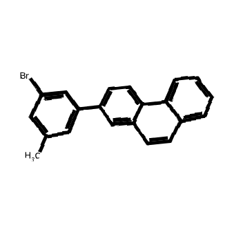 Cc1cc(Br)cc(-c2ccc3c(ccc4ccccc43)c2)c1